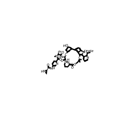 CCn1c(-c2cccnc2[C@H](C)OC)c2c3cc(ccc31)-c1cc(O)cc(c1)C[C@H](NC(=O)C(C(C)C)N(C)C(=O)c1ccc(NC(=O)[C@H]3CN3)cn1)C(=O)N1CCC[C@H](N1)C(=O)OCC(C)(C)C2